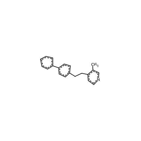 Cc1cnccc1CCc1ccc(-c2ccccc2)cc1